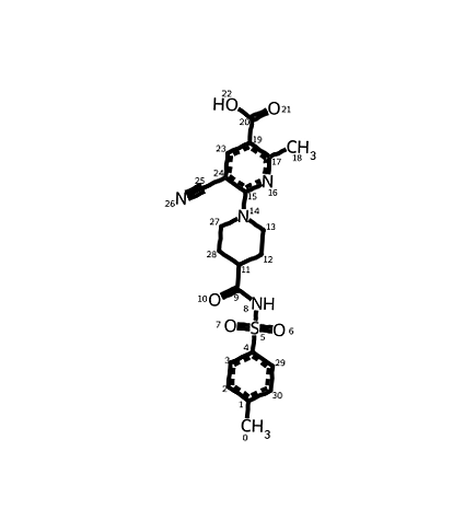 Cc1ccc(S(=O)(=O)NC(=O)C2CCN(c3nc(C)c(C(=O)O)cc3C#N)CC2)cc1